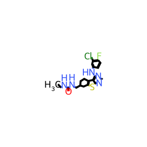 CCNC(=O)NCC1CCc2c(sc3ncnc(Nc4ccc(F)c(Cl)c4)c23)C1